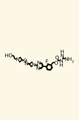 N=C(N)NC(=O)OCc1cccc(-c2cnc(N3CC(=NOC4CN(CCO)C4)C3)nc2)c1F